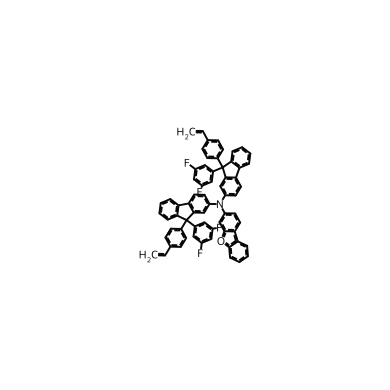 C=Cc1ccc(C2(c3cc(F)cc(F)c3)c3ccccc3-c3ccc(N(c4ccc5c(c4)C(c4ccc(C=C)cc4)(c4cc(F)cc(F)c4)c4ccccc4-5)c4ccc5c(c4)oc4ccccc45)cc32)cc1